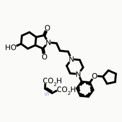 O=C(O)/C=C\C(=O)O.O=C1C2CCC(O)CC2C(=O)N1CCCN1CCN(c2ccccc2OC2CCCC2)CC1